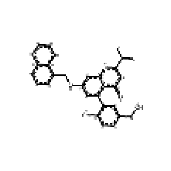 CC(C)c1cc(=O)c2c(-c3cc(CO)ccc3Cl)cc(OCc3cccc4ccccc34)cc2o1